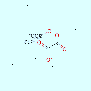 O=C([O-])C(=O)[O-].O=C([O-])[O-].[Ca+2].[Ca+2]